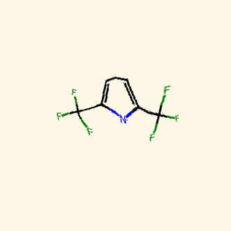 FC(F)(F)C1=CC=C(C(F)(F)F)[N]1